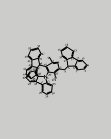 Cc1cc(CC2c3ccccc3-c3ccccc32)c(F)c(-n2c3ccccc3c3ccccc32)c1C1c2ccccc2-c2ccccc21